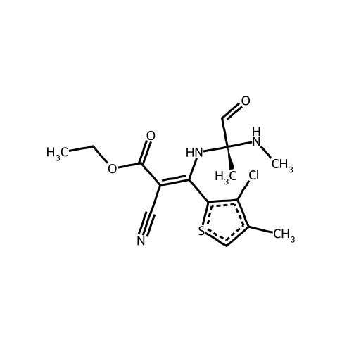 CCOC(=O)/C(C#N)=C(\N[C@](C)(C=O)NC)c1scc(C)c1Cl